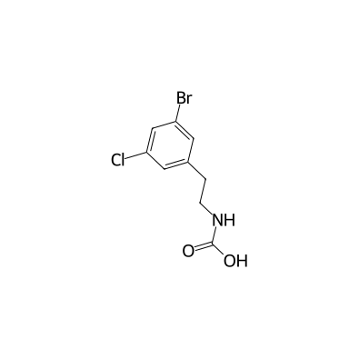 O=C(O)NCCc1cc(Cl)cc(Br)c1